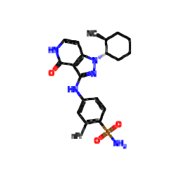 CCCc1cc(Nc2nn([C@H]3CCCC[C@@H]3C#N)c3cc[nH]c(=O)c23)ccc1S(N)(=O)=O